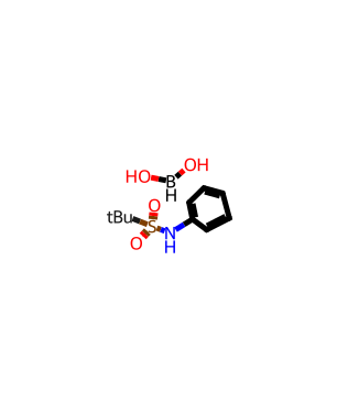 CC(C)(C)S(=O)(=O)Nc1ccccc1.OBO